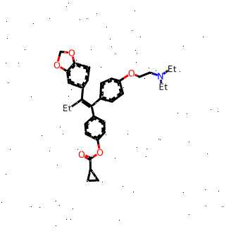 CC/C(=C(/c1ccc(OCCN(CC)CC)cc1)c1ccc(OC(=O)C2CC2)cc1)c1ccc2c(c1)OCO2